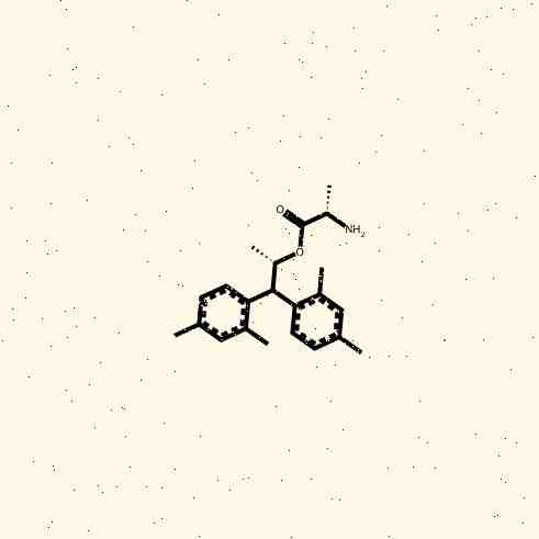 Cc1ccc(C(c2ccc(C)cc2C)[C@H](C)OC(=O)[C@H](C)N)c(C)c1